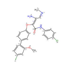 C/N=C\C(N)=C(\Oc1ccc(-c2ccc(F)cc2OC)cc1)C(=O)Nc1ccc(Cl)cc1